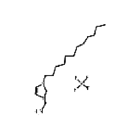 CCCCCCCCCCCCN1C=CN(CN)C1.F[B-](F)(F)F